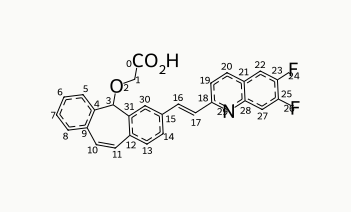 O=C(O)COC1c2ccccc2C=Cc2ccc(C=Cc3ccc4cc(F)c(F)cc4n3)cc21